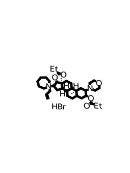 Br.C=CC[N+]1(C2C[C@H]3[C@@H]4CCC5CC(OC(=O)CC)C(N6CCOCC6)C[C@]5(C)[C@@H]4CC[C@]3(C)C2OC(=O)CC)CCCCCC1